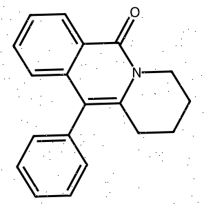 O=c1c2ccccc2c(-c2ccccc2)c2n1CCCC2